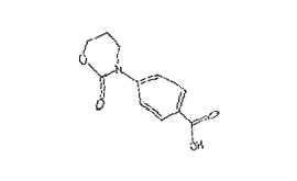 O=C(O)c1ccc(N2CCCOC2=O)cc1